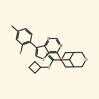 Cc1ccc(-c2csc3c(OC4C5COCC4CN(C(=O)OC4CCC4)C5)ncnc23)c(F)c1